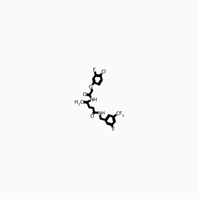 C=C(CCC(=O)NCc1cc(F)cc(C(F)(F)F)c1)NC(=O)COc1ccc(Cl)c(F)c1